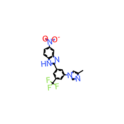 Cc1cn(-c2cc(-c3nc4cc([N+](=O)[O-])ccc4[nH]3)cc(C(F)(F)F)c2)cn1